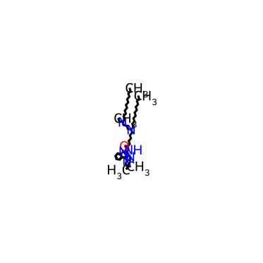 CCCCCCCCCCCCN(CC)CCCN(CCCCCCCCCCCC)CCCCCC(=O)Nc1nc2ccccc2c2c1ncn2CC(C)C